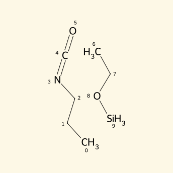 CCCN=C=O.CCO[SiH3]